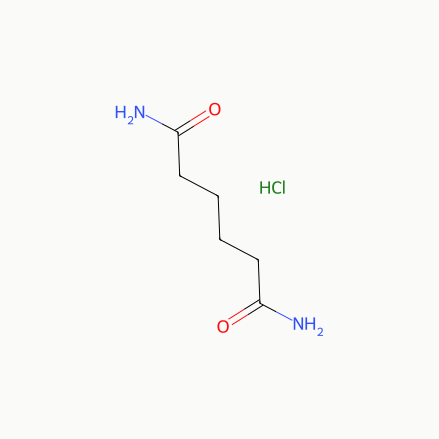 Cl.NC(=O)CCCCC(N)=O